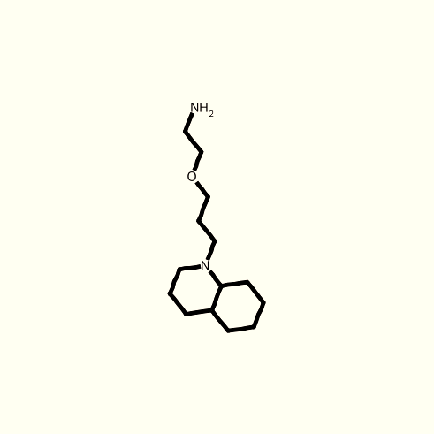 NCCOCCCN1CCCC2CCCCC21